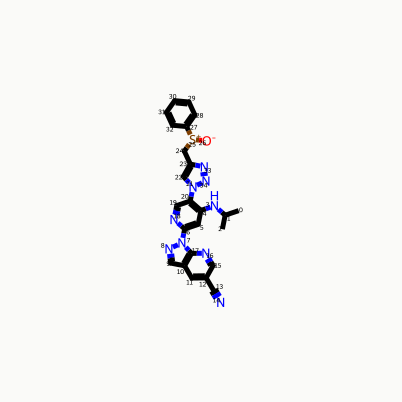 CC(C)Nc1cc(-n2ncc3cc(C#N)cnc32)ncc1-n1cc(C[S+]([O-])c2ccccc2)nn1